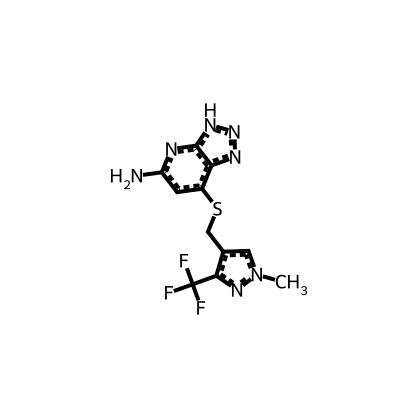 Cn1cc(CSc2cc(N)nc3[nH]nnc23)c(C(F)(F)F)n1